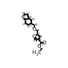 CCOC(=O)c1cc(COCc2ccc3sccc3c2)on1